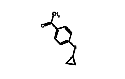 CC(=O)c1ccc(SC2CC2)cc1